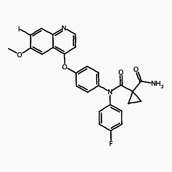 COc1cc2c(Oc3ccc(N(C(=O)C4(C(N)=O)CC4)c4ccc(F)cc4)cc3)ccnc2cc1I